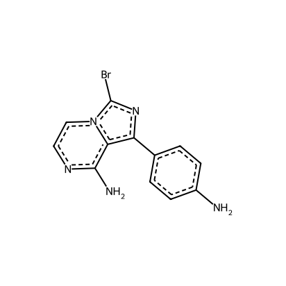 Nc1ccc(-c2nc(Br)n3ccnc(N)c23)cc1